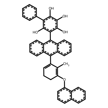 CC1=C(Oc2cccc3ccccc23)CCC=C1c1c2ccccc2c(-c2c(O)c(O)c(O)c(-c3ccccc3)c2O)c2ccccc12